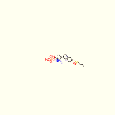 C=C(/C=C1/CC[C@@H](C[S+]([O-])CCCC)C/C1=C/C)[C@H]1CC[C@](N)(COP(=O)(O)O)C1